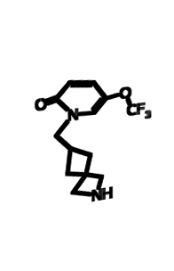 O=c1ccc(OC(F)(F)F)cn1CC1CC2(CNC2)C1